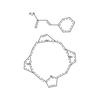 C1=Cc2cc3ccc(cc4nc(cc5ccc(cc1n2)[nH]5)C=C4)[nH]3.NC(=O)C=Cc1ccccc1